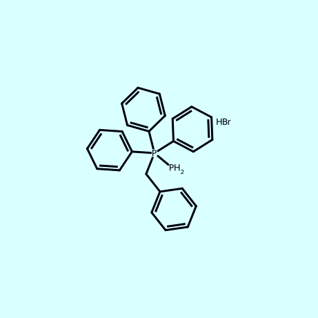 Br.PP(Cc1ccccc1)(c1ccccc1)(c1ccccc1)c1ccccc1